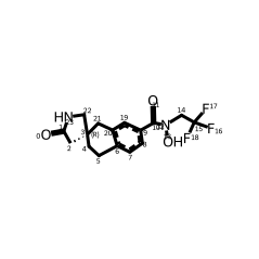 O=C1C[C@]2(CCc3ccc(C(=O)N(O)CC(F)(F)F)cc3C2)CN1